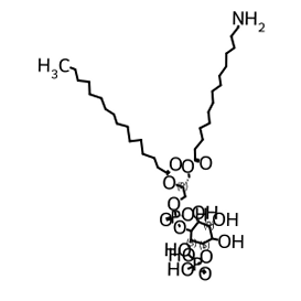 CCCCCCCCCCCCCCCC(=O)O[C@H](COC(=O)CCCCCCCCCCCCCCN)COP(=O)(O)OC1C(O)[C@H](O)C(O)[C@H](OP(=O)(O)O)[C@@H]1O